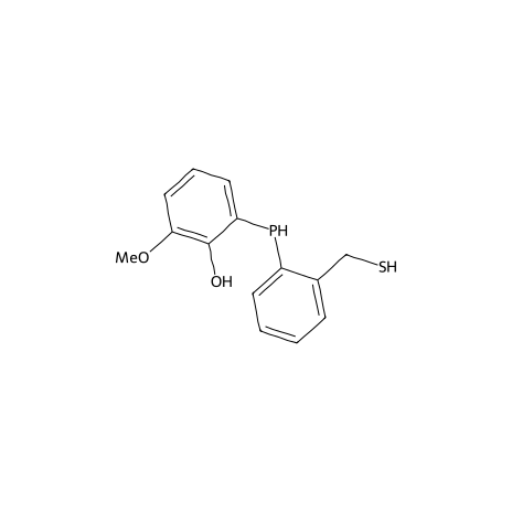 COc1cccc(Pc2ccccc2CS)c1O